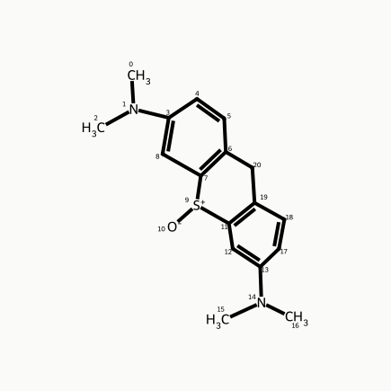 CN(C)c1ccc2c(c1)[S+]([O-])c1cc(N(C)C)ccc1C2